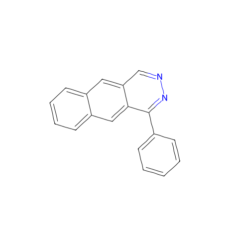 c1ccc(-c2nncc3cc4ccccc4cc23)cc1